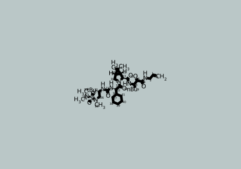 C=CCNC(=O)C(=O)C(CCCC)NC(=O)[C@@H]1[C@@H]2[C@H](CN1C(=O)[C@@H](NC(=O)N[C@H](CN(C)S(=O)(=O)N(C)C)C(C)(C)C)C1CCCCC1)C2(C)C